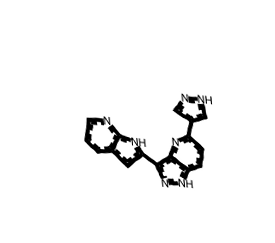 c1cnc2[nH]c(-c3n[nH]c4ccc(-c5cn[nH]c5)nc34)cc2c1